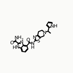 CC(c1ccc[nH]1)N1CCc2nc(NC(=O)c3cccc4[nH]c(C(N)=O)nc34)sc2C1